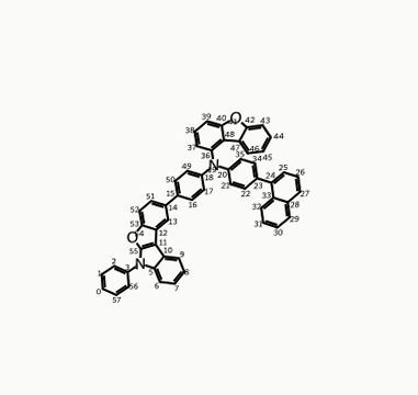 c1ccc(-n2c3ccccc3c3c4cc(-c5ccc(N(c6ccc(-c7cccc8ccccc78)cc6)c6cccc7oc8ccccc8c67)cc5)ccc4oc32)cc1